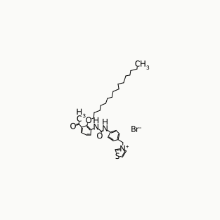 CCCCCCCCCCCCCCCCOc1c(NC(=O)Nc2ccc(C[n+]3ccsc3)cc2)cccc1C(C)=O.[Br-]